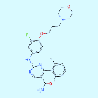 Cc1cccc(C)c1-c1nc(Nc2ccc(OCCCN3CCOCC3)c(F)c2)ncc1C(N)=O